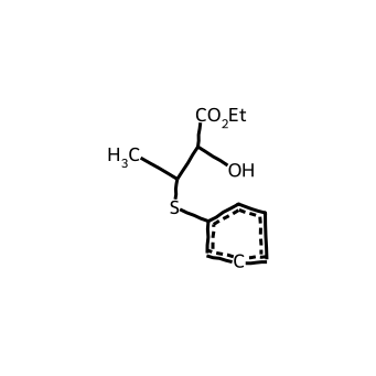 CCOC(=O)C(O)C(C)Sc1ccccc1